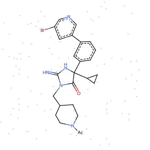 CC(=O)N1CCC(CN2C(=N)NC(c3cccc(-c4cncc(Br)c4)c3)(C3CC3)C2=O)CC1